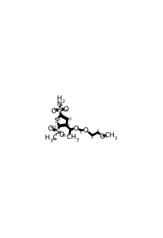 COCCOCOC(C)c1cc(S(N)(=O)=O)sc1S(C)(=O)=O